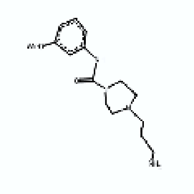 COc1cccc(NC(=O)N2CCN(CCCN)CC2)c1